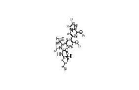 CCN(C(=O)NC(CCCF)C(F)(F)F)C(c1cc(-c2cn3cc(C)nc3c(OC)n2)c(OC)cn1)C(F)(F)F